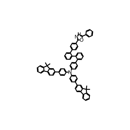 CC1(C)c2ccccc2-c2ccc(-c3ccc(N(c4ccc(-c5ccc6c(c5)C(C)(C)c5ccccc5-6)cc4)c4ccc(-c5ccccc5-c5ccccc5-c5ccc(-c6nnc(-c7ccccc7)o6)cc5)cc4)cc3)cc21